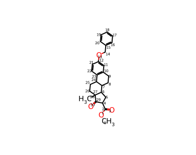 COC(=O)C1CC2C3CCc4cc(OCc5ccccc5)ccc4C3CCC2(C)C1=O